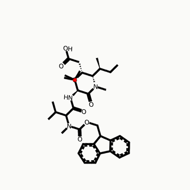 CC[C@H](C)[C@@H]([C@@H](CC(=O)O)OC)N(C)C(=O)[C@@H](NC(=O)C(C(C)C)N(C)C(=O)OCC1c2ccccc2-c2ccccc21)C(C)C